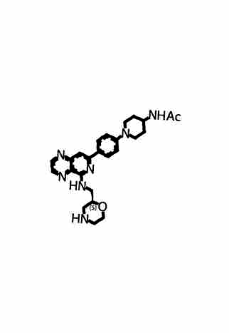 CC(=O)NC1CCN(c2ccc(-c3cc4nccnc4c(NC[C@@H]4CNCCO4)n3)cc2)CC1